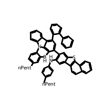 CCCCCc1ccc(Nc2cc3c(cc2-c2cc(-c4ccccc4-c4ccccc4)c4c5ccccc5n5c4c2Bc2cc(CCCCC)ccc2-5)sc2c4ccccc4ccc32)cc1